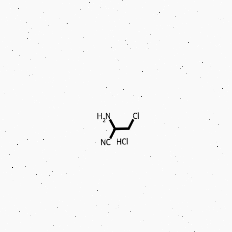 Cl.N#CC(N)CCl